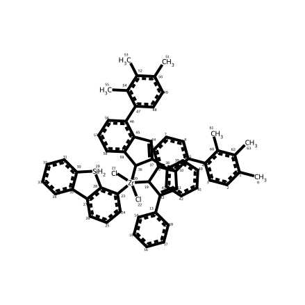 Cc1ccc(-c2cccc3c2C=C(c2ccccc2)[CH]3[Zr]([Cl])([Cl])([c]2cccc3c2[SiH2]c2ccccc2-3)[CH]2C(c3ccccc3)=Cc3c(-c4ccc(C)c(C)c4C)cccc32)c(C)c1C